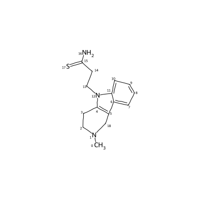 CN1CCc2c(c3ccccc3n2CCC(N)=S)C1